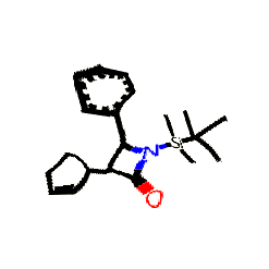 CC(C)(C)[Si](C)(C)N1C(=O)C(C2C=CCC2)C1c1ccccc1